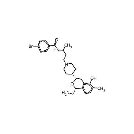 Cc1ccc2c(c1O)C[C@@H](C1CCN(CCC(C)NC(=O)c3ccc(Br)cc3)CC1)O[C@H]2CN